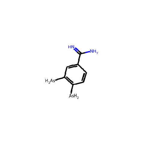 N=C(N)c1ccc([AsH2])c([AsH2])c1